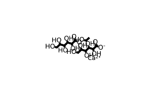 CCO.O=C([O-])C(O)C(O)C(O)C(O)CO.O=C([O-])C(O)C(O)C(O)C(O)CO.[Ca+2]